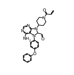 C=CC(=O)N1CCC(N2c3ncnc(N)c3N(c3ccc(Oc4ccccc4)cc3)C2C=O)CC1